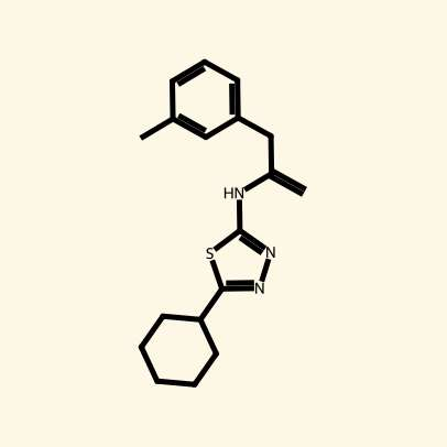 C=C(Cc1cccc(C)c1)Nc1nnc(C2CCCCC2)s1